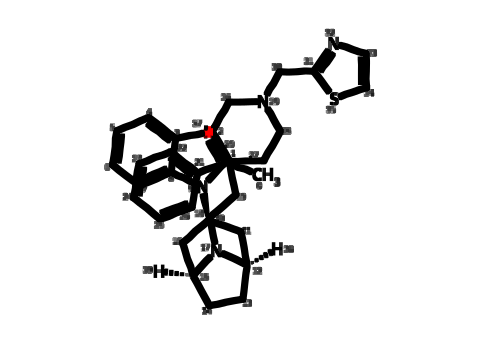 Cc1nc2ccccc2n1[C@H]1C[C@H]2CC[C@@H](C1)N2CCC1(c2ccccc2)CCN(Cc2nccs2)CC1